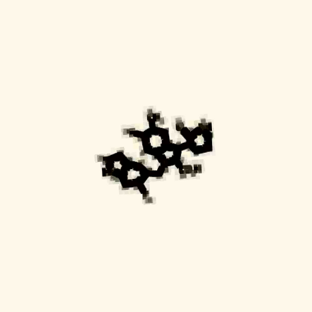 Cc1cc2c(-c3ccc[nH]c3=O)c(C(=O)O)n(Cc3cc4cn[nH]c4cc3F)c2cc1F